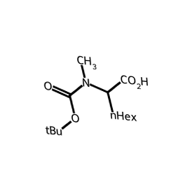 CCCCCCC(C(=O)O)N(C)C(=O)OC(C)(C)C